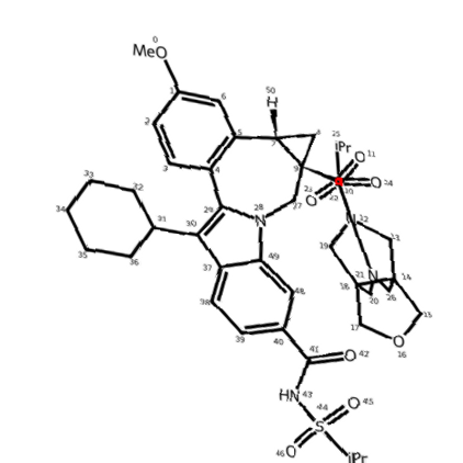 COc1ccc2c(c1)[C@@H]1C[C@]1(C(=O)N1CC34COCC3(C1)CN(S(=O)(=O)C(C)C)C4)Cn1c-2c(C2CCCCC2)c2ccc(C(=O)NS(=O)(=O)C(C)C)cc21